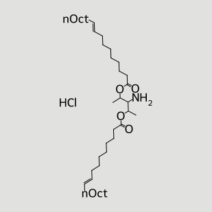 CCCCCCCCC=CCCCCCCCC(=O)OC(C)C(N)C(C)OC(=O)CCCCCCCC=CCCCCCCCC.Cl